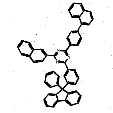 c1ccc(C2(c3cccc(-c4nc(-c5ccc(-c6cccc7ccccc67)cc5)nc(-c5ccc6ccccc6c5)n4)c3)c3ccccc3-c3ccccc32)cc1